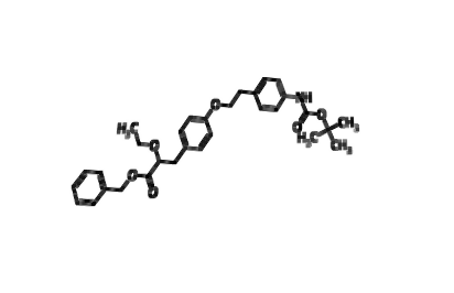 CCOC(Cc1ccc(OCCc2ccc(NC(=O)OC(C)(C)C)cc2)cc1)C(=O)OCc1ccccc1